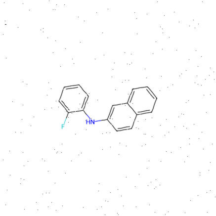 Fc1ccccc1Nc1ccc2ccccc2c1